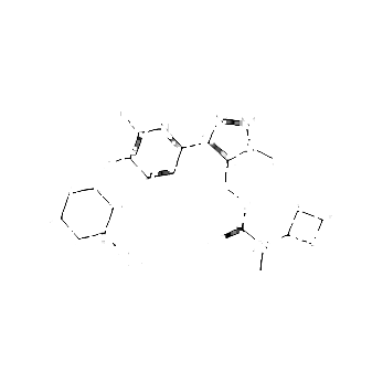 CCc1nc(-c2nnn(C)c2COC(=O)N(C)C2CCC2)ccc1O[C@H]1CCC[C@H](C(=O)O)C1